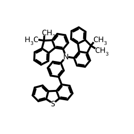 CC1(C)c2ccccc2-c2c(N(c3cccc(-c4cccc5sc6ccccc6c45)c3)c3cccc4c3-c3ccccc3C4(C)C)cccc21